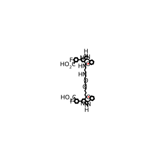 O=C(O)c1cc(-c2cc(C(=O)CCCCOCCOCCNCCCNC(=O)c3cc(-c4ccc(F)c(C(=O)O)c4)nc4[nH]nc(-c5ccccc5)c34)c3c(-c4ccccc4)n[nH]c3n2)ccc1F